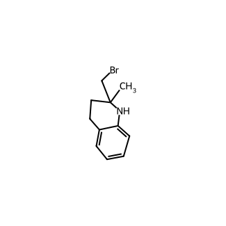 CC1(CBr)CCc2ccccc2N1